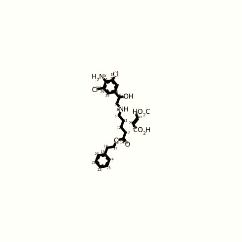 Nc1c(Cl)cc(C(O)CNCCCCC(=O)OCCc2ccccc2)cc1Cl.O=C(O)C=CC(=O)O